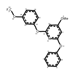 COc1cc(Oc2ccccc2)nc(Oc2cccc(OC(F)(F)F)c2)c1